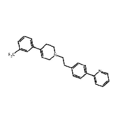 FC(F)(F)c1cccc(C2=CCN(CCc3ccc(-c4ccccn4)cc3)CC2)c1